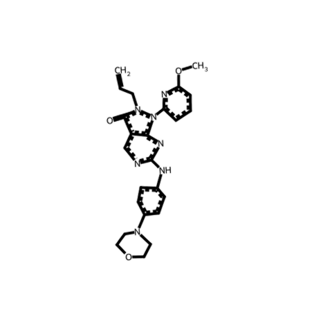 C=CCn1c(=O)c2cnc(Nc3ccc(N4CCOCC4)cc3)nc2n1-c1cccc(OC)n1